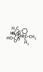 CC(C)c1cccc(C(C)C)c1NS(=O)(=O)C(S)C(=O)O